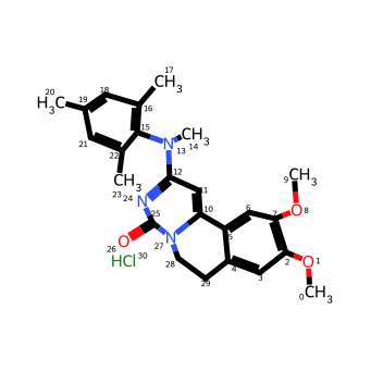 COc1cc2c(cc1OC)-c1cc(N(C)c3c(C)cc(C)cc3C)nc(=O)n1CC2.Cl